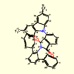 O=C1c2cccc(-n3c4ccc(C(F)(F)F)cc4c4cc(C(F)(F)F)ccc43)c2C(O)N1c1c(-c2ccccc2)cccc1-c1ccccc1